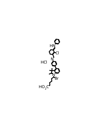 CC1=[N+](C(Br)CCCCC(=O)O)c2cccc(-c3ccc(N=CC4=C(Cl)C(=CNc5ccccc5)CCC4)cc3)c2C1(C)C.Cl